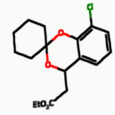 CCOC(=O)CC1OC2(CCCCC2)Oc2c(Cl)cccc21